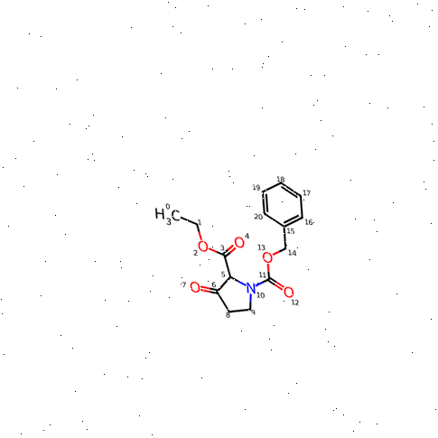 CCOC(=O)C1C(=O)CCN1C(=O)OCc1ccccc1